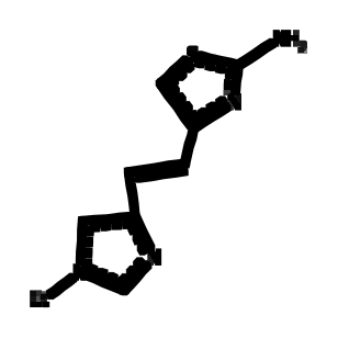 CCn1cnc(/C=C/c2csc(N)n2)c1